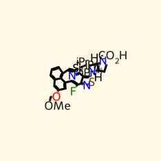 COCOc1cc(-c2ncc3c(N4C[C@@H]5[C@H]4CCN5C(=O)O)snc3c2F)c2c(C#C[Si](C(C)C)(C(C)C)C(C)C)cccc2c1